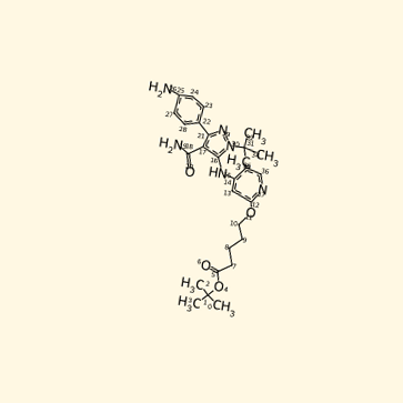 CC(C)(C)OC(=O)CCCCOc1cc(Nc2c(C(N)=O)c(-c3ccc(N)cc3)nn2C(C)(C)C)ccn1